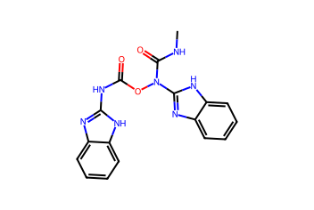 CNC(=O)N(OC(=O)Nc1nc2ccccc2[nH]1)c1nc2ccccc2[nH]1